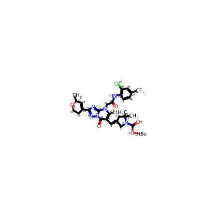 CCc1c(/C=C2/CN(C(=O)OC(C)(C)C)C(C)(C)C2)c(=O)n2nc(C3=CC(C)OCC3)nc2n1CC(=O)Nc1ccc(C(F)(F)F)cc1Cl